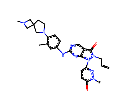 C=CCn1c(=O)c2cnc(Nc3ccc(N4CCC5(CN(C)C5)C4)c(C)c3)nc2n1-c1ccc(=O)n(C(C)C)n1